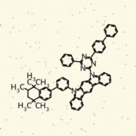 CC1CC(C)(C)c2ccc(-c3cccc(-n4c5ccccc5c5cc6c7ccccc7n(-c7nc(-c8ccccc8)nc(-c8ccc(-c9ccccc9)cc8)n7)c6cc54)c3)cc2C1(C)C